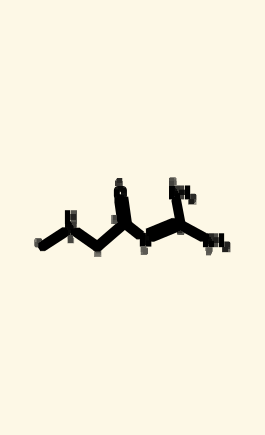 CNCC(=O)N=C(N)N